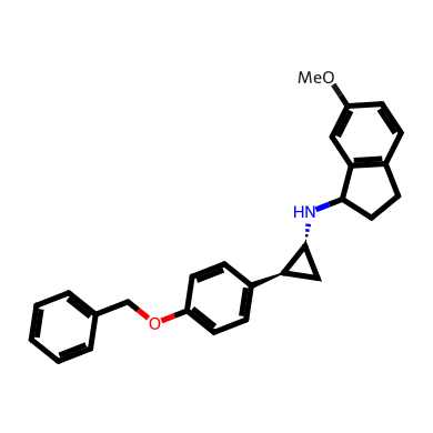 COc1ccc2c(c1)C(N[C@@H]1C[C@H]1c1ccc(OCc3ccccc3)cc1)CC2